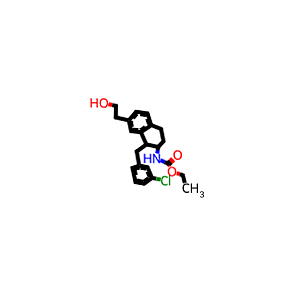 CCOC(=O)NC1CCc2ccc(CCO)cc2C1Cc1cccc(Cl)c1